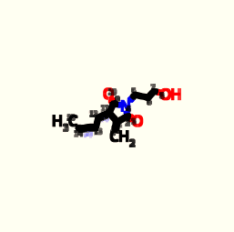 C=C1C(=O)N(CCCO)C(=O)/C1=C/C=C\C